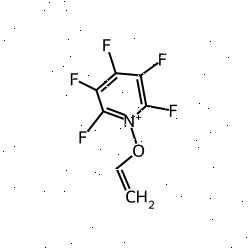 C=CO[n+]1c(F)c(F)c(F)c(F)c1F